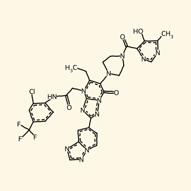 CCc1c(N2CCN(C(=O)c3ncnc(C)c3O)CC2)c(=O)n2nc(-c3ccn4ncnc4c3)nc2n1CC(=O)Nc1ccc(C(F)(F)F)cc1Cl